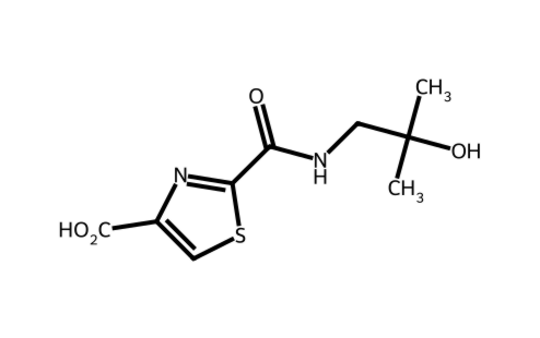 CC(C)(O)CNC(=O)c1nc(C(=O)O)cs1